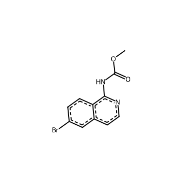 COC(=O)Nc1nccc2cc(Br)ccc12